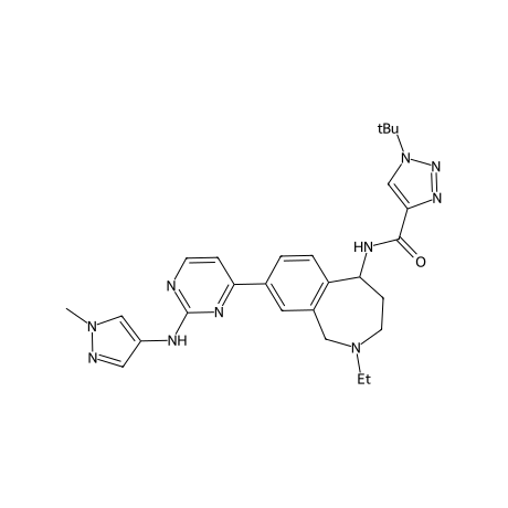 CCN1CCC(NC(=O)c2cn(C(C)(C)C)nn2)c2ccc(-c3ccnc(Nc4cnn(C)c4)n3)cc2C1